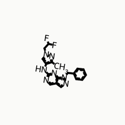 Cc1nn(CC(F)F)cc1Nc1ncc2cnn(Cc3ccccc3)c2n1